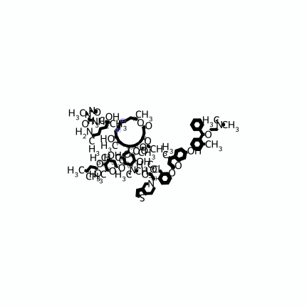 CC(N)CCCC(C)(C)O.CN(N=O)C(N)=O.COC(=O)[C@H](c1ccccc1Cl)N1CCc2sccc2C1.COC1[C@@H](O[C@@H]2O[C@H](C)[C@@H](O[C@H]3C[C@@](C)(O)[C@H](OC(=O)CC(C)C)[C@H](C)O3)[C@H](N(C)C)[C@H]2O)[C@@H](CC=O)C[C@@H](C)[C@@H](O)/C=C/C=C/C[C@@H](C)OC(=O)C[C@H]1OC(C)=O.Cc1cc(=O)oc2cc(O)ccc12.Cc1ccccc1C(OCCN(C)C)c1ccccc1